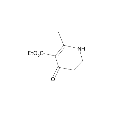 CCOC(=O)C1=C(C)NCCC1=O